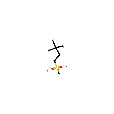 CC(C)(C)CCS(C)(=O)=O